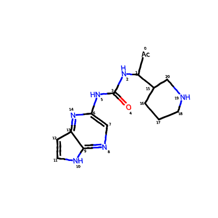 CC(=O)C(NC(=O)Nc1cnc2[nH]ccc2n1)C1CCCNC1